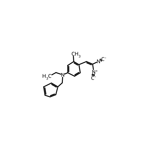 [C-]#[N+]C(=Cc1ccc(N(CC)Cc2ccccc2)cc1C)[N+]#[C-]